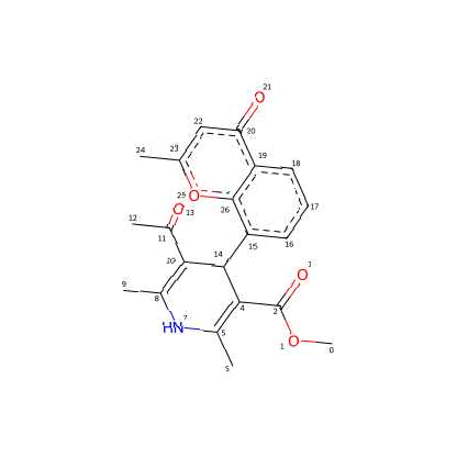 COC(=O)C1=C(C)NC(C)=C(C(C)=O)C1c1cccc2c(=O)cc(C)oc12